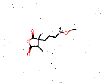 CCO[SiH2]CCCC1(C)C(=O)OC(=O)C1C